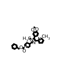 Cc1cccc(-c2nc(C3CCN(C(=O)OCc4ccccc4)CC3)n(C)c2-c2ccc3c(c2)OCO3)n1